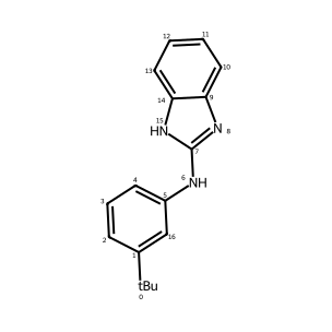 CC(C)(C)c1cccc(Nc2nc3ccccc3[nH]2)c1